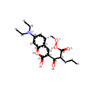 CCCC(C(=O)OOC)C(=O)c1cc2ccc(N(CC)CC)cc2oc1=O